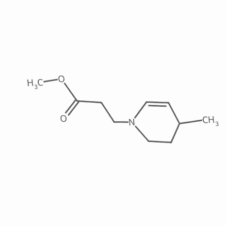 COC(=O)CCN1C=CC(C)CC1